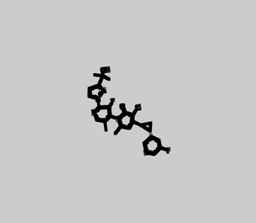 Cc1cnc(-n2ccc(C(C)(C)O)n2)c(F)c1-n1c(C)cc([C@H]2C[C@@H]2c2cncc(F)c2)c(Cl)c1=O